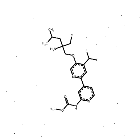 COC(=O)Nc1cc(-c2cc(C(F)F)c(OCC(N)(CF)CC(C)C)cn2)ccn1